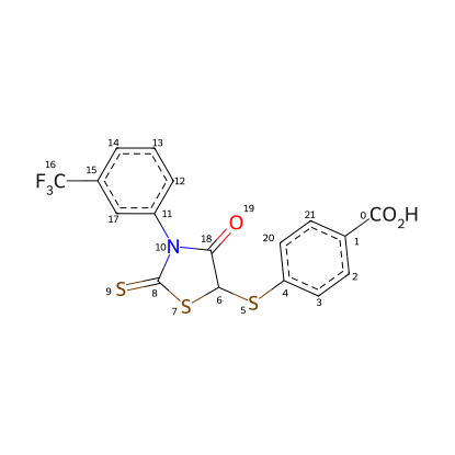 O=C(O)c1ccc(SC2SC(=S)N(c3cccc(C(F)(F)F)c3)C2=O)cc1